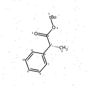 [CH2][C@@H](C(=O)OC(C)(C)C)c1ccccc1